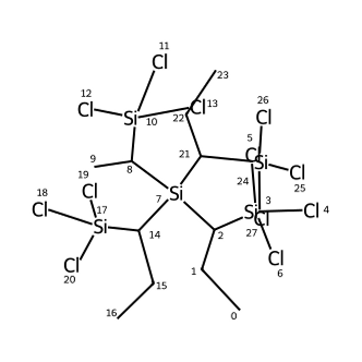 CCC([Si](Cl)(Cl)Cl)[Si](C(C)[Si](Cl)(Cl)Cl)(C(CC)[Si](Cl)(Cl)Cl)C(CC)[Si](Cl)(Cl)Cl